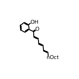 CCCCCCCCC=CC=CC=CC(=O)c1ccccc1O